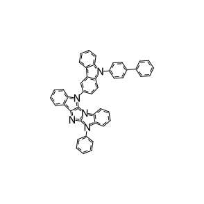 c1ccc(-c2ccc(-n3c4ccccc4c4cc(-n5c6ccccc6c6nc7n(-c8ccccc8)c8ccccc8n7c65)ccc43)cc2)cc1